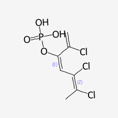 C=C(Cl)/C(=C\C(Cl)=C(/C)Cl)OP(=O)(O)O